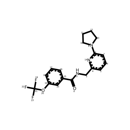 O=C(NCc1cccc(N2CCCC2)n1)c1cccc(OC(F)(F)F)c1